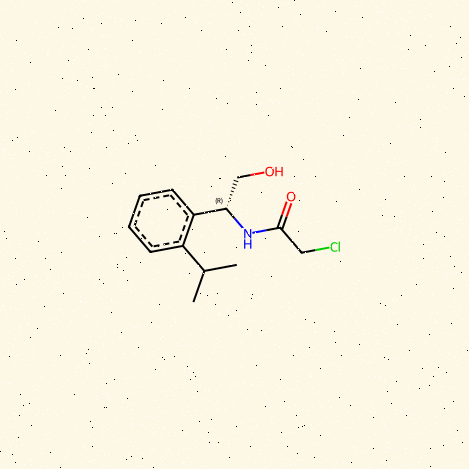 CC(C)c1ccccc1[C@H](CO)NC(=O)CCl